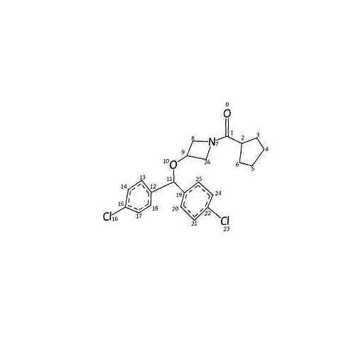 O=C(C1CCCC1)N1CC(OC(c2ccc(Cl)cc2)c2ccc(Cl)cc2)C1